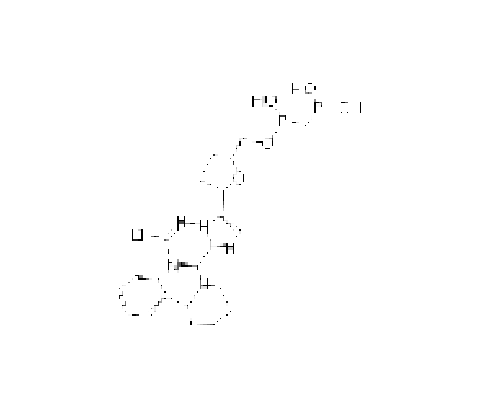 OP(O)CP(O)OC[C@@H]1CCC(c2cnc3c(N4CCCCC4c4ccccc4)nc(Cl)nn23)O1